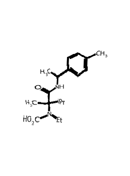 CCN(C(=O)O)C(C)(C(=O)NC(C)c1ccc(C)cc1)C(C)C